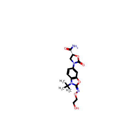 CC(C)(C)n1/c(=N\OCCO)oc2cc(N3C[C@H](C(N)=O)OC3=O)ccc21